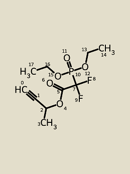 C#CC(C)OC(=O)C(F)(F)P(=O)(OCC)OCC